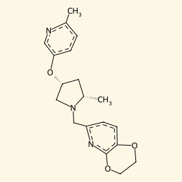 Cc1ccc(O[C@@H]2C[C@H](C)N(Cc3ccc4c(n3)OCCO4)C2)cn1